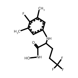 Cc1cc(NC(CCC(F)(F)F)C(=O)NO)cc(C)c1F